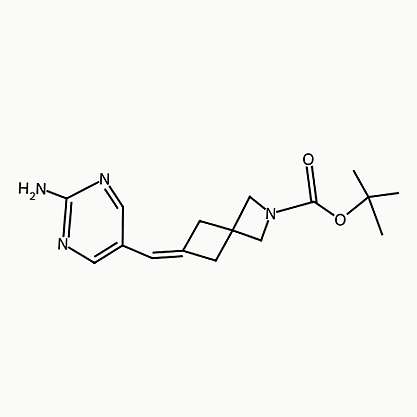 CC(C)(C)OC(=O)N1CC2(CC(=Cc3cnc(N)nc3)C2)C1